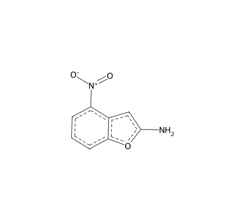 Nc1cc2c([N+](=O)[O-])cccc2o1